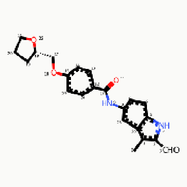 Cc1c(C=O)[nH]c2ccc(NC(=O)c3ccc(OC[C@@H]4CCCO4)cc3)cc12